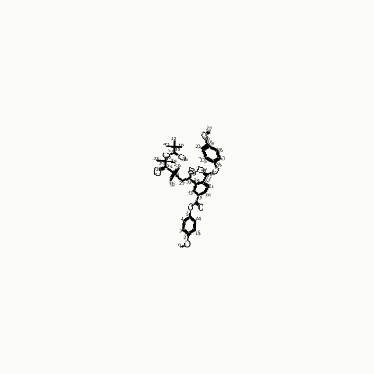 COc1ccc(OC(=O)c2ccc(C(=O)Oc3ccc(OC)cc3)c(C(Br)CC(C)(C)C(=O)C(C)(C)OC(=O)C(C)(C)C)c2)cc1